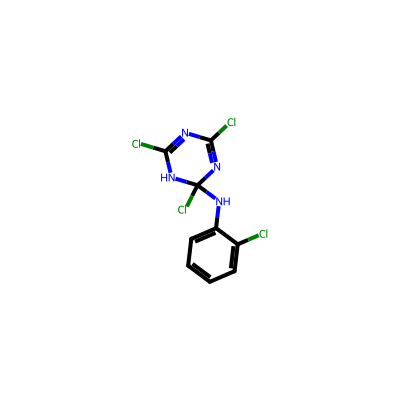 ClC1=NC(Cl)(Nc2ccccc2Cl)NC(Cl)=N1